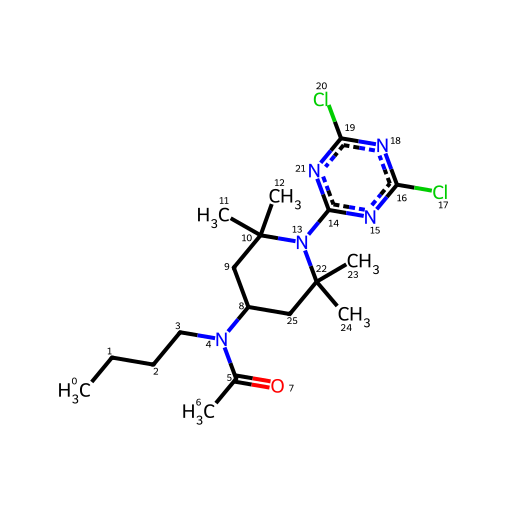 CCCCN(C(C)=O)C1CC(C)(C)N(c2nc(Cl)nc(Cl)n2)C(C)(C)C1